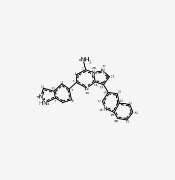 Nc1cc(-c2ccc3[nH]ncc3c2)nc2c(-c3cnc4ccccc4c3)cnn12